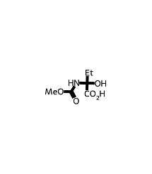 CCC(O)(NC(=O)OC)C(=O)O